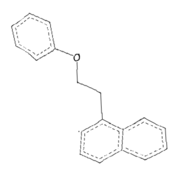 [c]1ccc2ccccc2c1CCOc1ccccc1